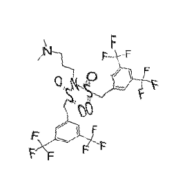 CN(C)CCCN(S(=O)(=O)Cc1cc(C(F)(F)F)cc(C(F)(F)F)c1)S(=O)(=O)Cc1cc(C(F)(F)F)cc(C(F)(F)F)c1